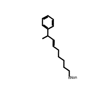 CCCCCCCCCCCCCCC=CC(C)c1ccccc1